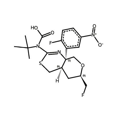 CC(C)(C)N(C(=O)O)C1=N[C@@]2(c3cc([N+](=O)[O-])ccc3F)CO[C@@H](CF)C[C@H]2CS1